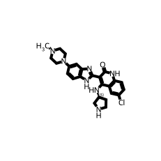 CN1CCN(c2ccc3[nH]c(-c4c(N[C@H]5CCNC5)c5cc(Cl)ccc5[nH]c4=O)nc3c2)CC1